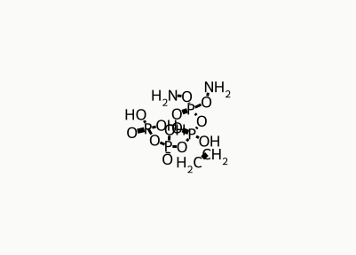 C=C.NOP(=O)(ON)OP(=O)(O)OP(=O)(O)OP(=O)(O)O